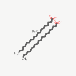 CCCCCCCCCCCCCCCCCCCC(=O)[O-].CCCCCCCCCCCCCCCCCCCC(=O)[O-].[Ba+2]